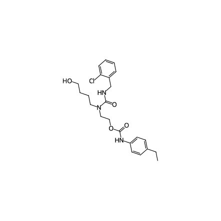 CCc1ccc(NC(=O)OCCN(CCCCO)C(=O)NCc2ccccc2Cl)cc1